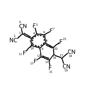 N#CC(C#N)=c1c(F)c(F)c2c(c1F)C(F)=C(F)C(C(C#N)C#N)C=2F